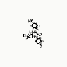 CCC(C)(C)OC(=O)N[C@H](Cc1ccc(C#N)cc1)C(=O)NC1CCN(C)CC1